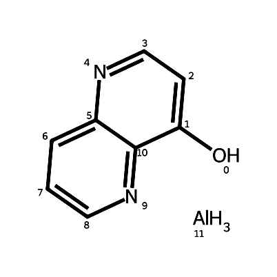 Oc1ccnc2cccnc12.[AlH3]